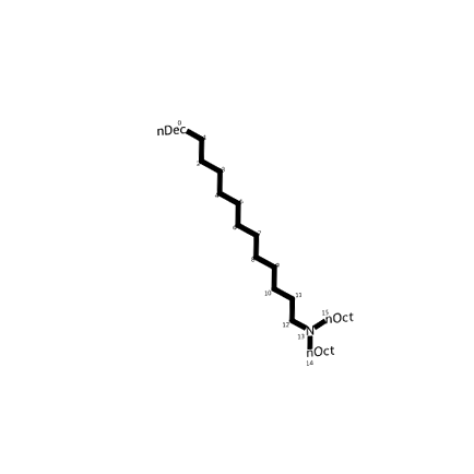 CCCCCCCCCCCCCCCCCCCCCCN(CCCCCCCC)CCCCCCCC